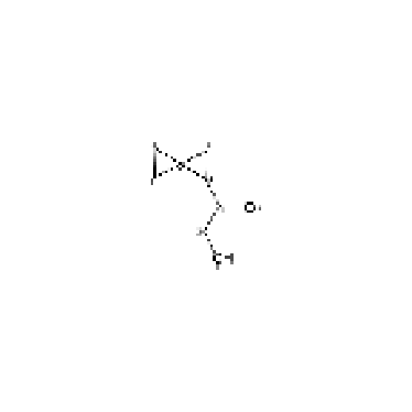 [O]C(CO)C1CC12CC2